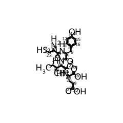 CC[C@H](C)[C@H](NC(=O)[C@H](Cc1ccc(O)cc1)NC(=O)[C@@H](N)CS)C(=O)N[C@@H](CCC(=O)O)C(=O)O